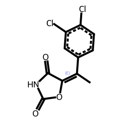 C/C(=C1\OC(=O)NC1=O)c1ccc(Cl)c(Cl)c1